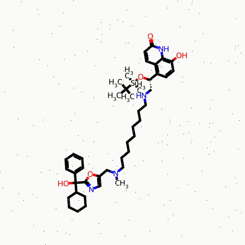 CN(CCCCCCCCCNC[C@H](O[Si](C)(C)C(C)(C)C)c1ccc(O)c2[nH]c(=O)ccc12)Cc1cnc(C(O)(c2ccccc2)C2CCCCC2)o1